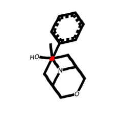 CC1(O)CC2COCC(C1)N2Cc1ccccc1